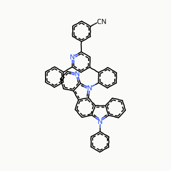 N#Cc1cccc(-c2cc(-c3ccccc3-n3c4ncccc4c4ccc5c(c6ccccc6n5-c5ccccc5)c43)cc(-c3ccccc3)n2)c1